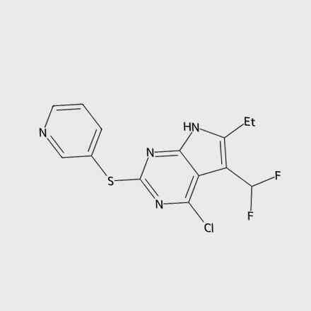 CCc1[nH]c2nc(Sc3cccnc3)nc(Cl)c2c1C(F)F